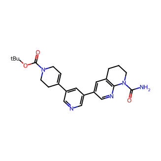 CC(C)(C)OC(=O)N1CC=C(c2cncc(-c3cnc4c(c3)CCCN4C(N)=O)c2)CC1